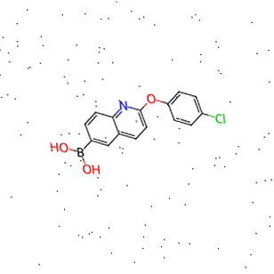 OB(O)c1ccc2nc(Oc3ccc(Cl)cc3)ccc2c1